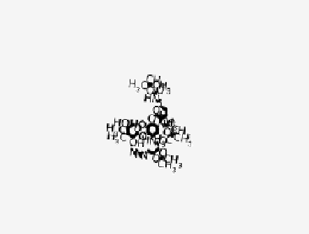 CC1CC[C@@H](CNC(=O)OC(C)(C)C)O[C@@H]1OC1C(O)C(O[C@H]2OCC(C)(O)[C@H](C)C2O)[C@H](NC(=O)[C@H]2OC(C)(C)OC2CN=[N+]=[N-])C[C@@H]1NC(=O)OC(C)(C)C